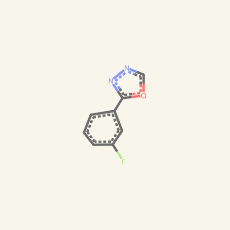 Fc1cccc(-c2nnco2)c1